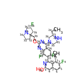 C#Cc1c(F)ccc2cc(O)nc(-c3c(F)cc4c(N5CCN[C@H](CC)C5)nc(OC[C@@]56CCCN5C[C@H](F)C6)nc4c3F)c12